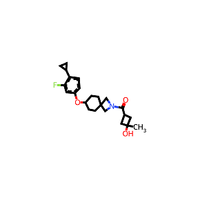 CC1(O)CC(C(=O)N2CC3(CCC(Oc4ccc(C5CC5)c(F)c4)CC3)C2)C1